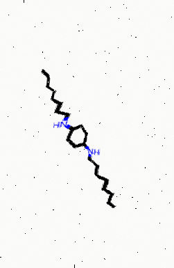 CCCCCCCCNC1CCC(NCCCCCCCC)CC1